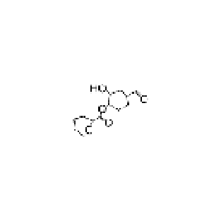 O=CC1CCC(OC(=O)C2CC=CCC2)C(O)C1